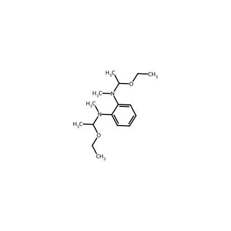 CCOC(C)N(C)c1ccccc1N(C)C(C)OCC